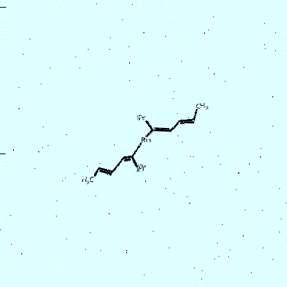 C/C=C/C=[C](/[Ru]/[C](=C/C=C/C)C(C)C)C(C)C